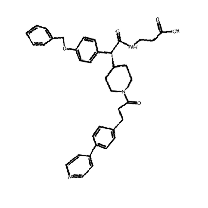 O=C(O)CCNC(=O)[C@H](c1ccc(OCc2ccccc2)cc1)C1CCN(C(=O)CCc2ccc(-c3ccncc3)cc2)CC1